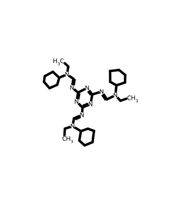 CCN(C=Nc1nc(N=CN(CC)C2CCCCC2)nc(N=CN(CC)C2CCCCC2)n1)C1CCCCC1